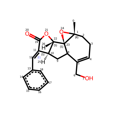 C[C@@]12CCC=C(CO)C3C[C@H]4/C(=C\c5ccccc5)C(=O)O[C@@H]4[C@@]31O2